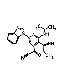 CCC(=N)c1c(C(=O)C#N)cc(-n2nnc3ccccc32)nc1NC(C)C